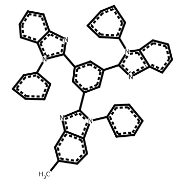 Cc1ccc2c(c1)nc(-c1cc(-c3nc4ccccc4n3-c3ccccc3)cc(-c3nc4ccccc4n3-c3ccccc3)c1)n2-c1ccccc1